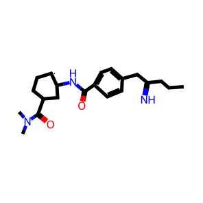 CCCC(=N)Cc1ccc(C(=O)NC2[CH]CCC(C(=O)N(C)C)C2)cc1